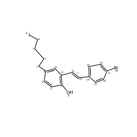 Oc1ccc(CCCCI)cc1/C=C/c1ccc(Br)cc1